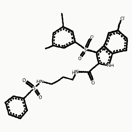 Cc1cc(C)cc(S(=O)(=O)c2c(C(=O)NCCCNS(=O)(=O)c3ccccc3)[nH]c3ccc(Cl)cc23)c1